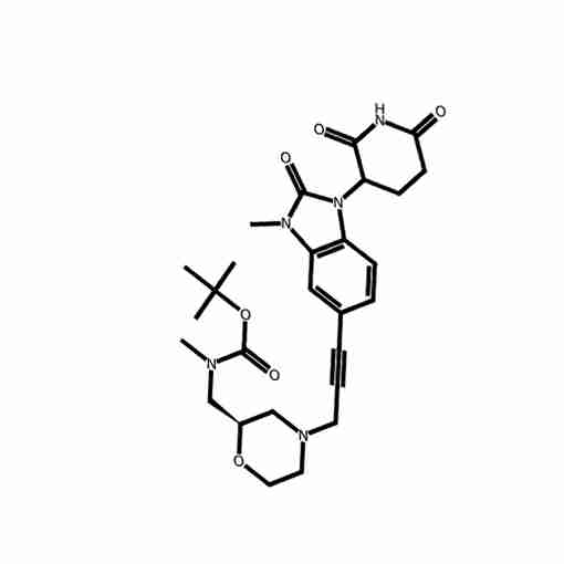 CN(C[C@H]1CN(CC#Cc2ccc3c(c2)n(C)c(=O)n3C2CCC(=O)NC2=O)CCO1)C(=O)OC(C)(C)C